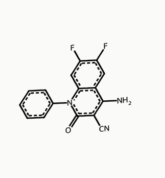 N#Cc1c(N)c2cc(F)c(F)cc2n(-c2ccccc2)c1=O